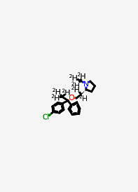 [2H]C([2H])(CO[C@@](c1ccccc1)(c1ccc(Cl)cc1)C([2H])([2H])[2H])[C@H]1CCCN1C([2H])([2H])[2H]